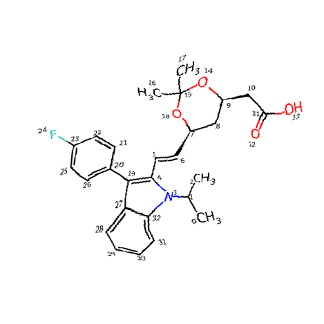 CC(C)n1c(/C=C/[C@@H]2C[C@H](CC(=O)O)OC(C)(C)O2)c(-c2ccc(F)cc2)c2ccccc21